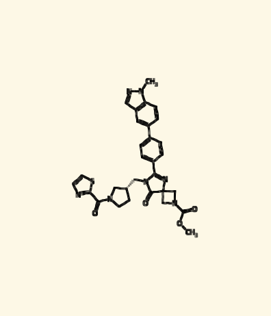 COC(=O)N1CC2(C1)N=C(c1ccc(-c3ccc4c(cnn4C)c3)cc1)N(C[C@@H]1CCN(C(=O)c3nccs3)C1)C2=O